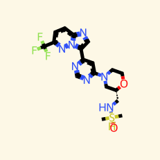 C[SH](C)(=O)NC[C@@H]1CN(c2cc(-c3cnc4ccc(C(F)(F)F)nn34)ncn2)CCO1